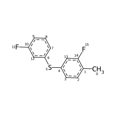 Cc1ccc(Sc2cccc(F)c2)cc1F